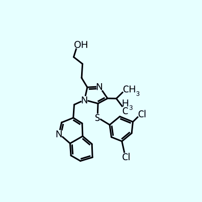 CC(C)c1nc(CCCO)n(Cc2cnc3ccccc3c2)c1Sc1cc(Cl)cc(Cl)c1